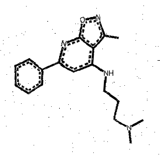 Cc1noc2nc(-c3ccccc3)cc(NCCCN(C)C)c12